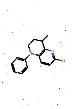 CC1CCN(c2ccccc2)c2ccc(Cl)nc21